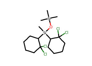 C[Si](C)(C)O[Si](C)(C1CCCCC1(Cl)Cl)C1CCCCC1(Cl)Cl